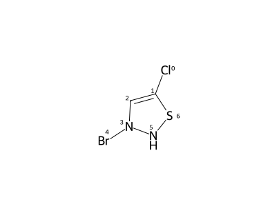 ClC1=CN(Br)NS1